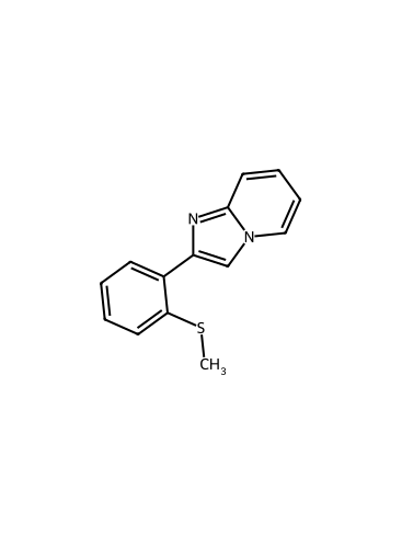 CSc1ccccc1-c1cn2ccccc2n1